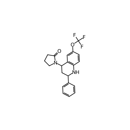 O=C1CCCN1C1CC(c2ccccc2)Nc2ccc(OC(F)(F)F)cc21